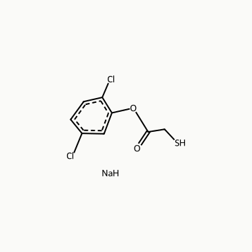 O=C(CS)Oc1cc(Cl)ccc1Cl.[NaH]